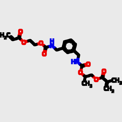 C=CC(=O)OCCOC(=O)NCc1cccc(CNC(=O)OC(C)COC(=O)C(=C)C)c1